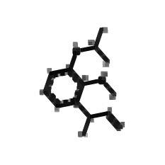 [CH2]C(C=C)c1cccc(OC(C)C)c1OC